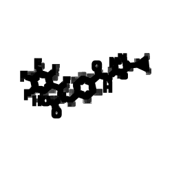 O=C(Nc1nnc(C2CC2)s1)c1ccc(CN(C(=O)O)C(F)c2cc(F)c(F)c(F)c2F)cc1